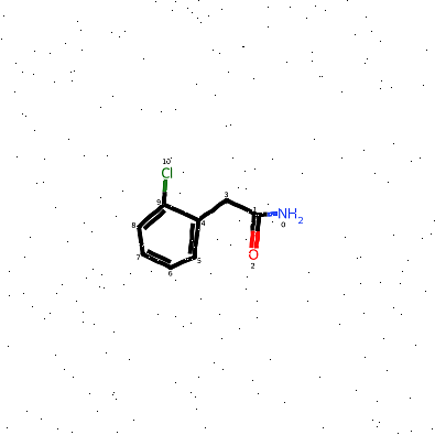 NC(=O)[CH]c1ccccc1Cl